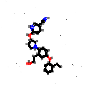 CCc1ccccc1Oc1ccc(N2CC[C@H](Oc3ccc(C#N)cn3)C2)c(CCO)c1